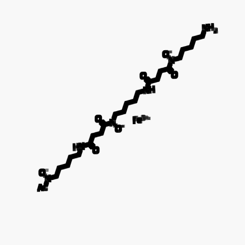 CC(=O)N([O-])CCCCCNC(=O)CCC(=O)N([O-])CCCCCNC(=O)CCC(=O)N([O-])CCCCCN.[Fe+3]